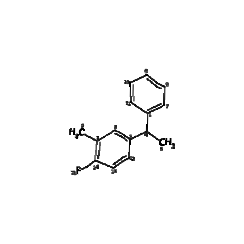 Cc1cc(C(C)c2ccccc2)ccc1F